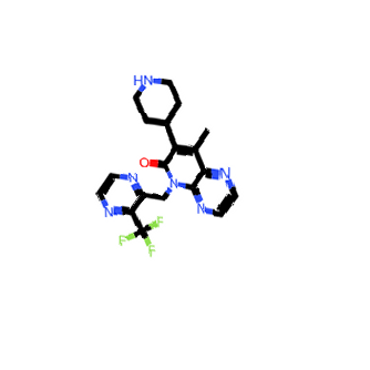 Cc1c(C2CCNCC2)c(=O)n(Cc2nccnc2C(F)(F)F)c2nccnc12